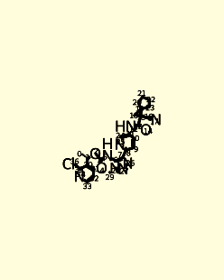 C[C@@H](OC(=O)Nc1c(-c2ccc(NC(=O)C3(C#N)CC34CCCC4)cn2)nnn1C)c1cccnc1Cl